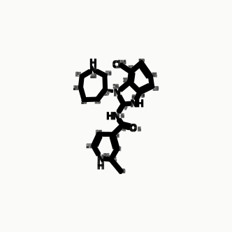 CC1C=C(C(=O)NC2Nc3cccc(Cl)c3N2[C@@H]2CCCCNC2)C=CN1